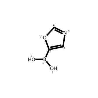 OB(O)c1cnco1